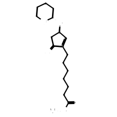 COC(=O)CCCCCCC1=CC(O[C@H]2CCCCO2)CC1=O